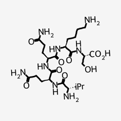 CC(C)[C@H](N)C(=O)N[C@@H](CCC(N)=O)C(=O)N[C@@H](CCC(N)=O)C(=O)N[C@@H](CCCCN)C(=O)N[C@@H](CO)C(=O)O